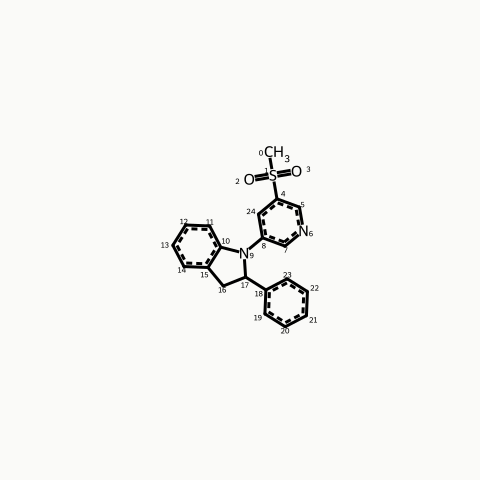 CS(=O)(=O)c1cncc(N2c3ccccc3CC2c2ccccc2)c1